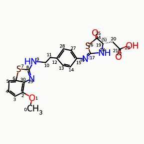 COc1cccc2sc(NCCc3ccc(/N=C4/N[C@@H](CC(=O)O)C(=O)S4)cc3)nc12